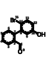 O=Cc1ccccc1-c1cc(O)ccc1Br